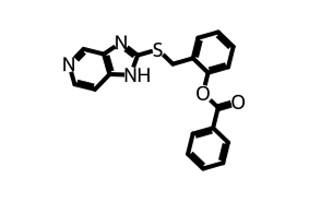 O=C(Oc1ccccc1CSc1nc2cnccc2[nH]1)c1ccccc1